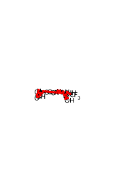 Cn1c(=O)n([C@H]2CCC(=O)NC2=O)c2ccc(CCCOCCOCCOCCN3CCN(Cc4ccc(-c5cn([C@H]6CC[C@H](O)CC6)c6nc(NCCC(F)(F)F)ncc56)cc4)CC3)cc21